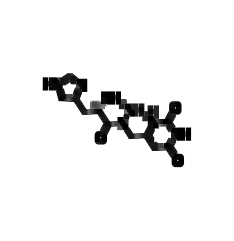 N[C@@H](Cc1c[nH]cn1)C(=O)N(N)Cc1cc(=O)[nH]c(=O)[nH]1